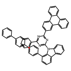 c1ccc(-c2ccc(-c3ccc(-c4cccc5c6ccccc6n(-c6nc(-c7ccccc7)nc(-c7ccc8c9ccccc9c9ccccc9c8c7)n6)c45)cc3)cc2)cc1